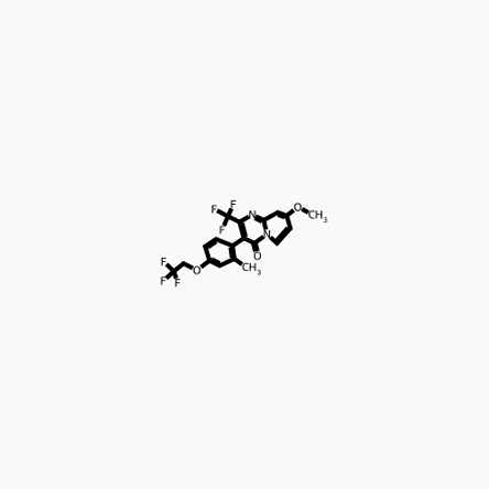 COc1ccn2c(=O)c(-c3ccc(OCC(F)(F)F)cc3C)c(C(F)(F)F)nc2c1